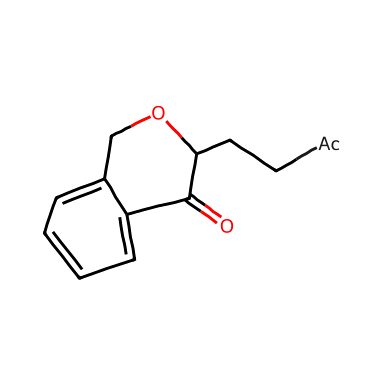 CC(=O)CCC1OCc2ccccc2C1=O